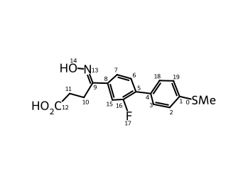 CSc1ccc(-c2ccc(/C(CCC(=O)O)=N/O)cc2F)cc1